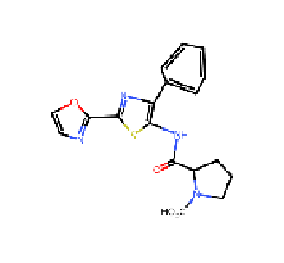 O=C(Nc1sc(-c2ncco2)nc1-c1ccccc1)C1CCCN1C(=O)O